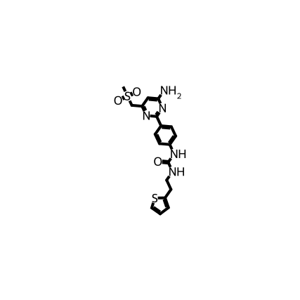 CS(=O)(=O)Cc1cc(N)nc(-c2ccc(NC(=O)NCCc3cccs3)cc2)n1